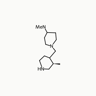 CNC1CCN(CC2CCNC[C@@H]2C)CC1